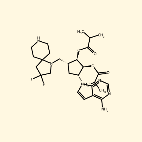 CC(C)C(=O)O[C@@H]1[C@@H](CN2CC(F)(F)CC23CCNCC3)C[C@@H](n2ccc3c(N)ncnc32)[C@@H]1OC(=O)C(C)C